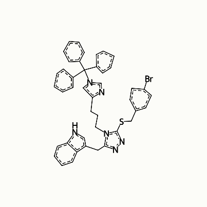 Brc1ccc(CSc2nnc(Cc3c[nH]c4ccccc34)n2CCCc2cn(C(c3ccccc3)(c3ccccc3)c3ccccc3)cn2)cc1